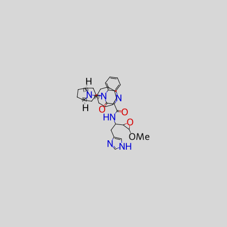 COC1OC1C(Cc1c[nH]cn1)NC(=O)c1nc2ccccc2n([C@H]2C[C@H]3CC[C@@H](C2)N3C2CCCCCCC2)c1=O